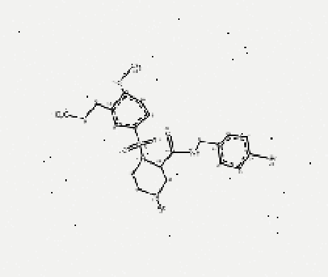 CC(=O)N1CCN(S(=O)(=O)c2ccc(OC(F)(F)F)c(CCC(=O)O)c2)C(C(=O)NCc2ccc(C(C)C)cc2)C1